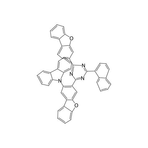 c1ccc2c(-c3nc(-c4ccc5c(c4)oc4ccccc45)nc(-c4cc5oc6ccccc6c5cc4-n4c5ccccc5c5ccccc54)n3)cccc2c1